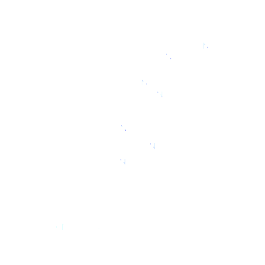 O=c1[nH]c(NCc2ccc(Cl)c(Cl)c2)nc2cnn(Cc3cnccn3)c12